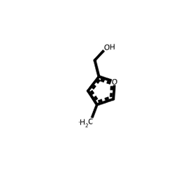 [CH2]c1coc(CO)c1